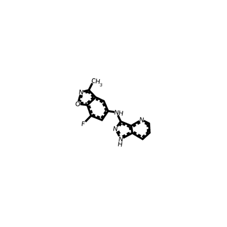 Cc1noc2c(F)cc(Nc3n[nH]c4cccnc34)cc12